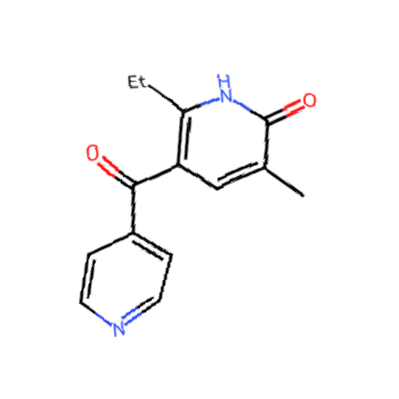 CCc1[nH]c(=O)c(C)cc1C(=O)c1ccncc1